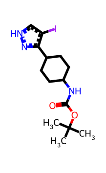 CC(C)(C)OC(=O)NC1CCC(c2n[nH]cc2I)CC1